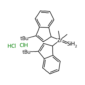 CC(C)(C)C1=C[CH]([Zr]([CH3])([CH3])(=[SiH2])[CH]2C=C(C(C)(C)C)c3ccccc32)c2ccccc21.Cl.Cl